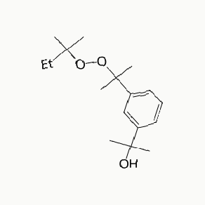 CCC(C)(C)OOC(C)(C)c1cccc(C(C)(C)O)c1